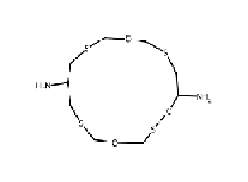 NC1CSCCCSCC(N)CSCCCSC1